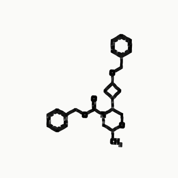 CC1CN(C(=O)OCc2ccccc2)C(C2CC(OCc3ccccc3)C2)CO1